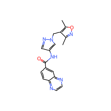 Cc1noc(C)c1Cn1cc(NC(=O)c2ccc3nccnc3c2)cn1